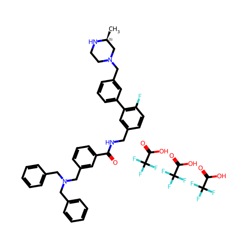 C[C@H]1CN(Cc2cccc(-c3cc(CNC(=O)c4cccc(CN(Cc5ccccc5)Cc5ccccc5)c4)ccc3F)c2)CCN1.O=C(O)C(F)(F)F.O=C(O)C(F)(F)F.O=C(O)C(F)(F)F